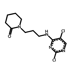 O=C1CCCCN1CCCNc1nc(Cl)ncc1Cl